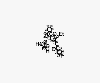 CCOC(=O)C1(c2ccsc2-c2ccccc2)CCN(CCCC(=O)c2ccc(F)cc2)CC1.O=C(O)C(=O)O